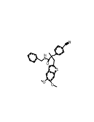 COc1cc2cc(CC(C)(C(=O)NCc3ccccc3)c3ccc(C#N)cc3)sc2cc1OC